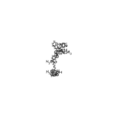 COP(=O)(O)C(NC(=O)CCCCC(=O)N(C)c1ccc2c(c1)OB([C@@H](CC(C)C)NC(=O)[C@@H](Cc1ccccc1)NC(=O)c1cnccn1)O2)P(=O)(O)O